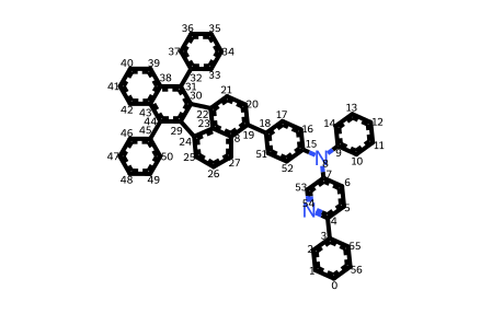 c1ccc(-c2ccc(N(c3ccccc3)c3ccc(-c4ccc5c6c(cccc46)-c4c-5c(-c5ccccc5)c5ccccc5c4-c4ccccc4)cc3)cn2)cc1